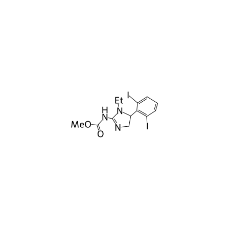 CCN1C(NC(=O)OC)=NCC1c1c(I)cccc1I